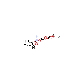 COCCOCCONC(=O)OC(C)(C)C